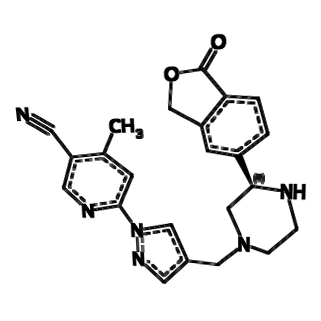 Cc1cc(-n2cc(CN3CCN[C@H](c4ccc5c(c4)COC5=O)C3)cn2)ncc1C#N